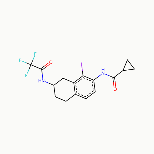 O=C(Nc1ccc2c(c1I)CC(NC(=O)C(F)(F)F)CC2)C1CC1